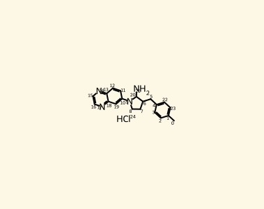 Cc1ccc(CC2CCN(c3ccc4nccnc4c3)C2N)cc1.Cl